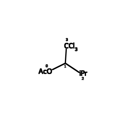 CC(=O)OC(C(C)C)C(Cl)(Cl)Cl